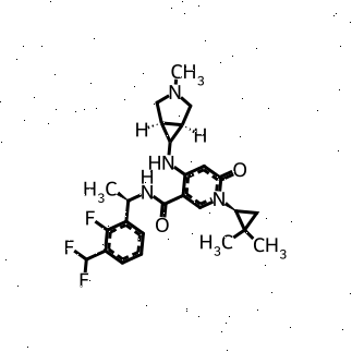 C[C@@H](NC(=O)c1cn([C@H]2CC2(C)C)c(=O)cc1NC1[C@H]2CN(C)C[C@@H]12)c1cccc(C(F)F)c1F